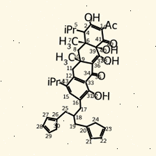 CC(=O)C1=C(O)C(C(C)C)[C@@]2(C)C[C@@]3(C)Cc4c(C(C)C)cc(CC(CC5=CC=CC5)CC5=CC=CC5)c(O)c4C(=O)C3=C(O)[C@@]2(O)C1=O